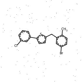 Cc1ccc(Br)cc1Cc1ccc(-c2cccc(Cl)c2)s1